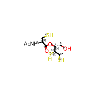 CC(=O)N[C@@H](CS)C(=O)O[C@H](CO)[C@H](S)CS